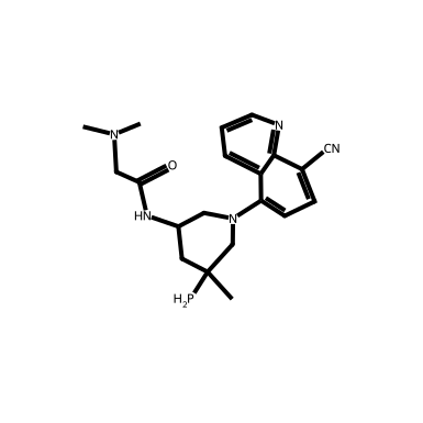 CN(C)CC(=O)NC1CN(c2ccc(C#N)c3ncccc23)CC(C)(P)C1